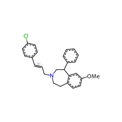 COc1ccc2c(c1)C(c1ccccc1)CN(C/C=C/c1ccc(Cl)cc1)CC2